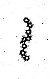 c1ccc2c(c1)sc1ccc(-c3ccc4c(c3)oc3ccc5c(ccc6oc7cc(-c8ccc9sc%10ccccc%10c9c8)ccc7c65)c34)cc12